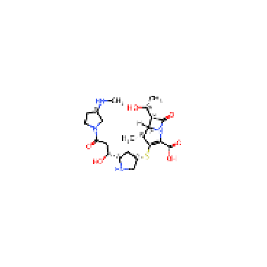 CN[C@@H]1CCN(C(=O)CC(O)[C@@H]2C[C@H](SC3=C(C(=O)O)N4C(=O)[C@H]([C@@H](C)O)[C@H]4[C@H]3C)CN2)C1